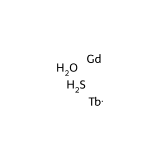 O.S.[Gd].[Tb]